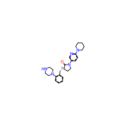 O=C1[C@@H](Cc2ccccc2N2CCNCC2)CCN1c1ccc(N2CCCCC2)nc1